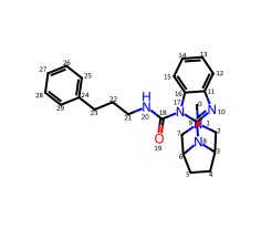 CN1CC2CCC(C1)N2c1nc2ccccc2n1C(=O)NCCCc1ccccc1